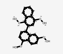 OOc1ccc2c(OO)ccc(-c3cc(OO)c4ccccc4c3OO)c2c1